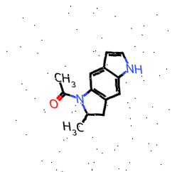 CC(=O)N1c2cc3cc[nH]c3cc2CC1C